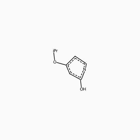 CC(C)Oc1ccnc(O)c1